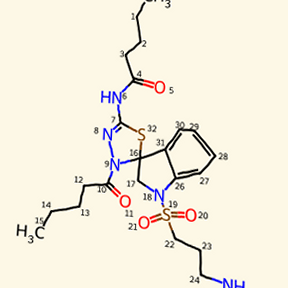 CCCCC(=O)NC1=NN(C(=O)CCCC)C2(CN(S(=O)(=O)CCCN)c3ccccc32)S1